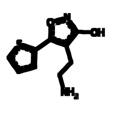 NCCc1c(O)noc1-c1cccs1